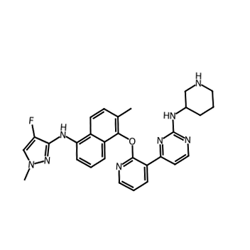 Cc1ccc2c(Nc3nn(C)cc3F)cccc2c1Oc1ncccc1-c1ccnc(NC2CCCNC2)n1